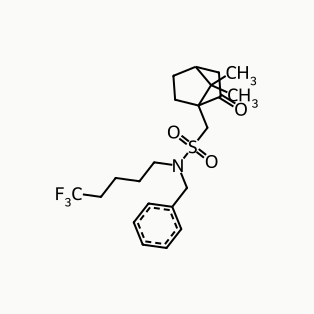 CC1(C)C2CCC1(CS(=O)(=O)N(CCCCC(F)(F)F)Cc1ccccc1)C(=O)C2